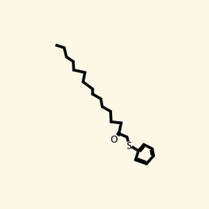 CCCCCCCCCCCCCCC(=O)CSc1ccccc1